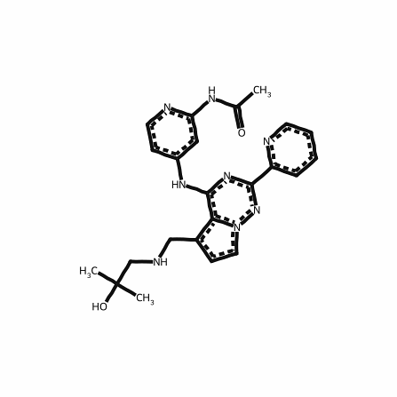 CC(=O)Nc1cc(Nc2nc(-c3ccccn3)nn3ccc(CNCC(C)(C)O)c23)ccn1